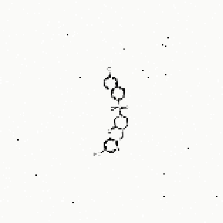 N#Cc1ccc(CN2CCN(S(=O)(=O)c3ccc4cc(Cl)ccc4c3)CC2=O)nc1